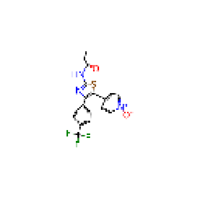 CCC(=O)Nc1nc(-c2ccc(C(F)(F)F)cc2)c(-c2cc[n+]([O-])cc2)s1